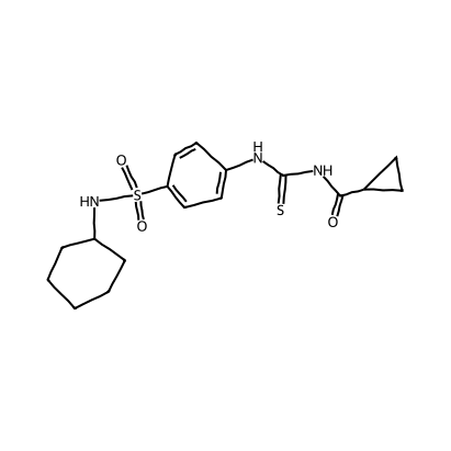 O=C(NC(=S)Nc1ccc(S(=O)(=O)NC2CCCCC2)cc1)C1CC1